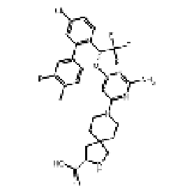 Cc1ccc(-c2cc(Cl)ccc2[C@@H](Oc2cc(N3CCC4(CC3)CN[C@H](C(=O)O)C4)nc(N)n2)C(F)(F)F)cc1F